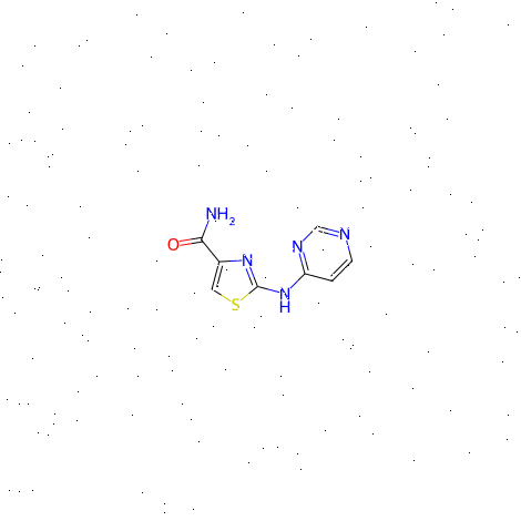 NC(=O)c1csc(Nc2ccncn2)n1